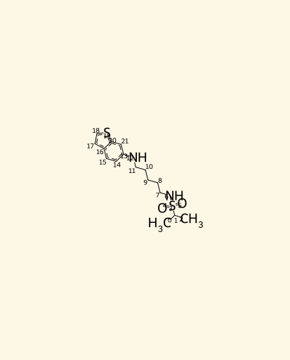 CC(C)S(=O)(=O)NCCCCCNc1ccc2ccsc2c1